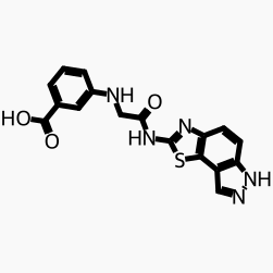 O=C(CNc1cccc(C(=O)O)c1)Nc1nc2ccc3[nH]ncc3c2s1